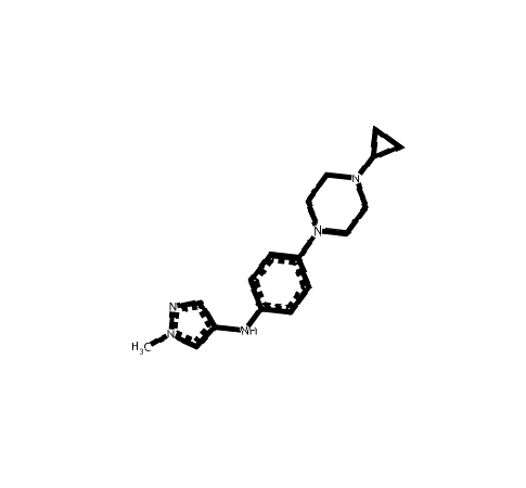 Cn1cc(Nc2ccc(N3CCN(C4CC4)CC3)cc2)cn1